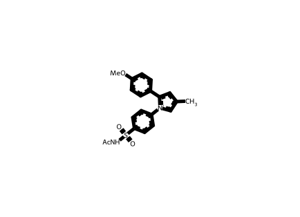 COc1ccc(-c2cc(C)cn2-c2ccc(S(=O)(=O)NC(C)=O)cc2)cc1